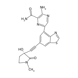 CN1CC[C@@](O)(C#Cc2cc(-c3cnc(N)c(C(N)=O)n3)c3ncsc3c2)C1=O